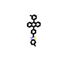 Cc1c[c]cc(-c2c3ccccc3c(-c3ccc(-c4nc5ccc(C)cc5s4)cc3)c3ccccc23)c1